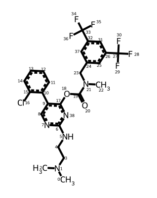 CN(C)CCNc1ncc(-c2ccccc2Cl)c(OC(=O)N(C)Cc2cc(C(F)(F)F)cc(C(F)(F)F)c2)n1